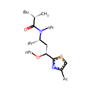 CCCO[C@H](C[C@H](C(C)C)N(CCC)C(=O)[C@@H](C)[C@@H](C)CC)c1nc(C(C)=O)cs1